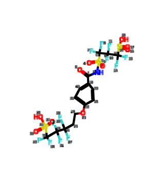 O=C(NS(=O)(=O)C(F)(F)C(F)(F)C(F)(F)S(=O)(=O)O)c1ccc(OCCC(F)(F)C(F)(F)C(F)(F)S(=O)(=O)O)cc1